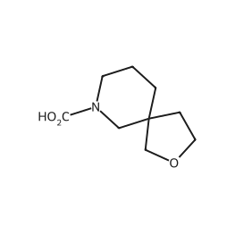 O=C(O)N1CCCC2(CCOC2)C1